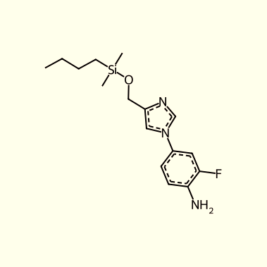 CCCC[Si](C)(C)OCc1cn(-c2ccc(N)c(F)c2)cn1